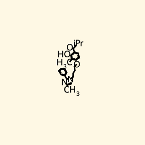 Cc1cn(CCCCOc2ccc(C(=O)CC(C)C)c(O)c2C)c(-c2ccccc2)n1